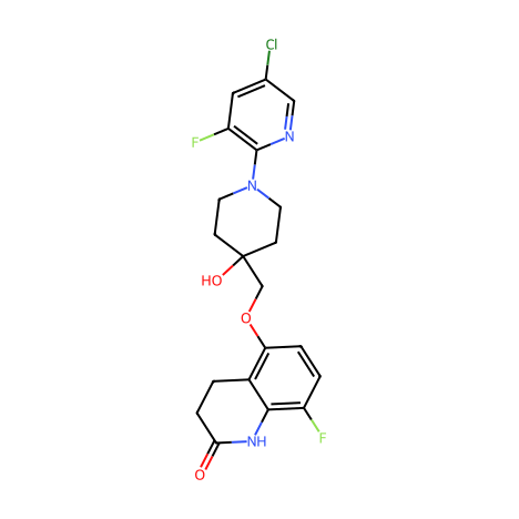 O=C1CCc2c(OCC3(O)CCN(c4ncc(Cl)cc4F)CC3)ccc(F)c2N1